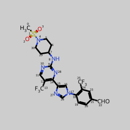 CS(=O)(=O)N1CCC(Nc2ncc(C(F)(F)F)c(-c3cn(-c4ccc(C=O)cc4C(F)(F)F)cn3)n2)CC1